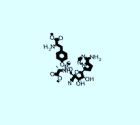 COC(=O)[C@H](C)N[P@](=O)(OC[C@@]1(C#N)O[C@@H](c2ccc3c(N)ncnn23)[C@H](O)[C@@H]1O)Oc1ccc(C[C@H](N)C(=O)OC)cc1